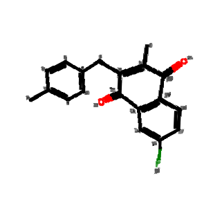 CC1=C(Cc2ccc(C)cc2)C(=O)c2cc(F)ccc2C1=O